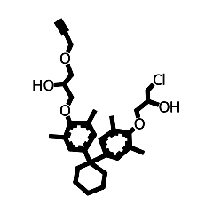 C#CCOCC(O)COc1c(C)cc(C2(c3cc(C)c(OCC(O)CCl)c(C)c3)CCCCC2)cc1C